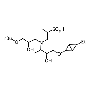 CCCCOCC(O)CN(CC(C)S(=O)(=O)O)C(C)C(O)COC1C2C(CC)C12